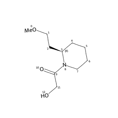 COCC[C@H]1CCCCN1C(=O)CO